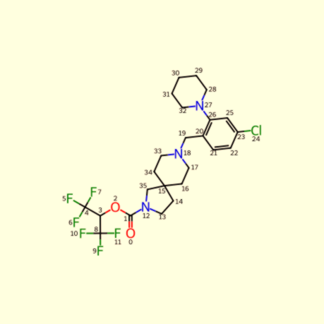 O=C(OC(C(F)(F)F)C(F)(F)F)N1CCC2(CCN(Cc3ccc(Cl)cc3N3CCCCC3)CC2)C1